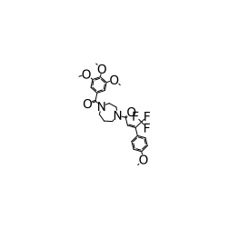 COc1ccc(C(=CC(=O)N2CCCN(C(=O)c3cc(OC)c(OC)c(OC)c3)CC2)C(F)(F)F)cc1